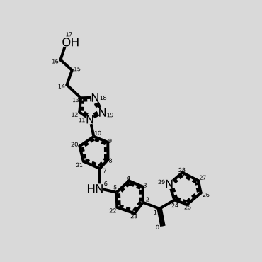 C=C(c1ccc(Nc2ccc(-n3cc(CCCO)nn3)cc2)cc1)c1ccccn1